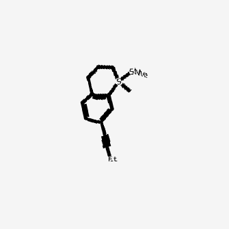 CCC#Cc1ccc2c(c1)S(C)(SC)CCC2